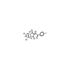 Cc1ccc(C(=O)NN2C(=O)[C@@H]3C4C=CC([C@H]5C[C@@H]45)[C@@H]3C2=O)cc1